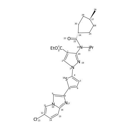 CCOC(=O)c1cn(-c2ccc(-c3cn4cc(Cl)ccc4n3)s2)nc1N(C(=O)[C@H]1CC[C@H](C)CC1)C(C)C